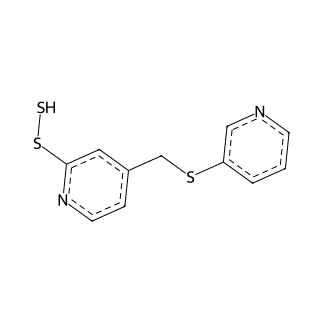 SSc1cc(CSc2cccnc2)ccn1